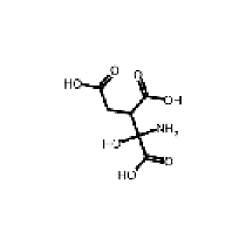 NC(O)(C(=O)O)C(CC(=O)O)C(=O)O